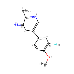 CCCCCCCC1=NC=C(c2ccc(OCCCCCC)c(F)c2)CC1=N